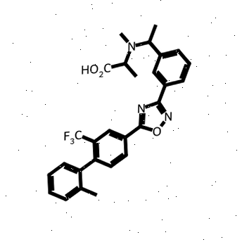 Cc1ccccc1-c1ccc(-c2nc(-c3cccc(C(C)N(C)C(C)C(=O)O)c3)no2)cc1C(F)(F)F